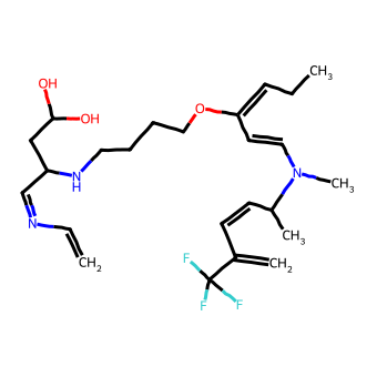 C=C/N=C\C(CC(O)O)NCCCCOC(/C=C/N(C)C(C)/C=C\C(=C)C(F)(F)F)=C/CC